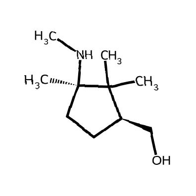 CN[C@]1(C)CC[C@H](CO)C1(C)C